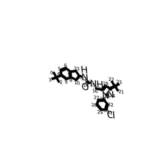 CC(C)(C)c1ccc2c(c1)CC(NC(=O)NCc1cc(C(C)(C)C)nn1-c1cccc(Cl)c1)C2